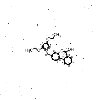 CCOc1nc(OCC)n(Cc2ccc(-c3ccccc3C(=O)O)cc2)n1